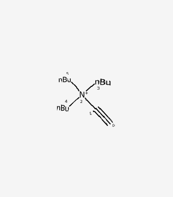 C#C[N+](CCCC)(CCCC)CCCC